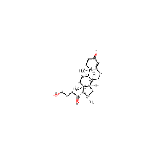 C[C@@H]1C[C@H]2[C@@H]3CCC4=CC(=O)CC[C@]4(C)C3=CC[C@]2(C)[C@H]1C(=O)CCCO